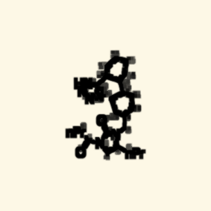 CCCC(=O)n1cc(CCC)n(Cc2ccc(-c3ccccc3-c3nnn[nH]3)cc2)c1=O